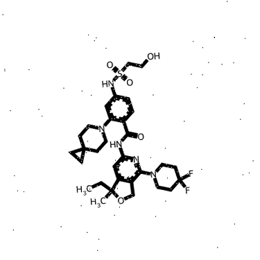 CCC1(C)OCc2c1cc(NC(=O)c1ccc(NS(=O)(=O)CCO)cc1N1CCC3(CC1)CC3)nc2N1CCC(F)(F)CC1